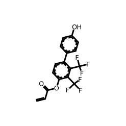 C=CC(=O)Oc1ccc(-c2ccc(O)cc2)c(C(F)(F)F)c1C(F)(F)F